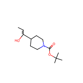 C/C=C(\O)C1CCN(C(=O)OC(C)(C)C)CC1